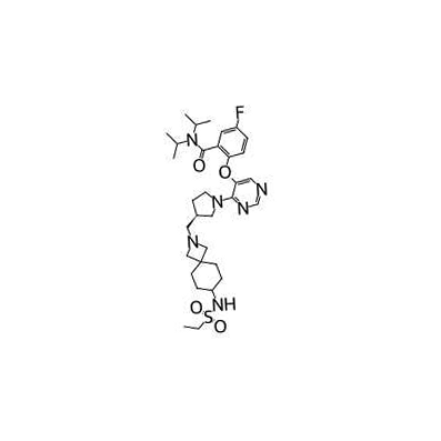 CCS(=O)(=O)NC1CCC2(CC1)CN(C[C@H]1CCN(c3ncncc3Oc3ccc(F)cc3C(=O)N(C(C)C)C(C)C)C1)C2